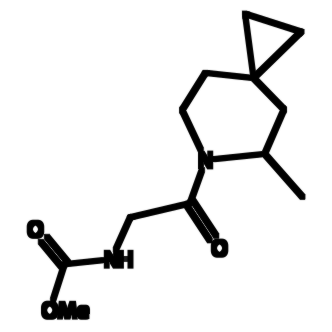 COC(=O)NCC(=O)N1CCC2(CC2)CC1C